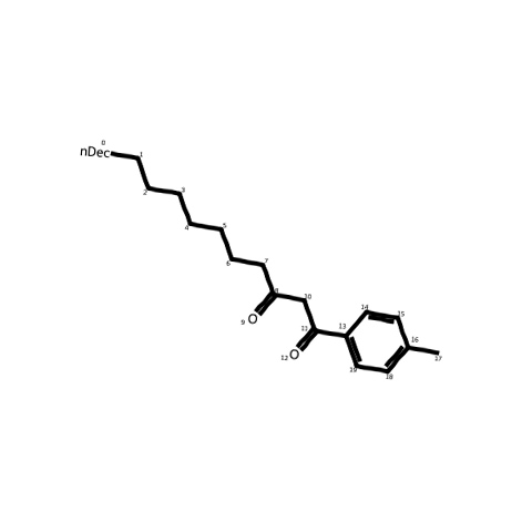 CCCCCCCCCCCCCCCCCC(=O)CC(=O)c1ccc(C)cc1